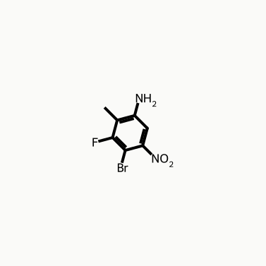 Cc1c(N)cc([N+](=O)[O-])c(Br)c1F